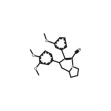 COc1cccc(C2=C(C#N)N3CCCC3CC2c2ccc(OC)c(OC)c2)c1